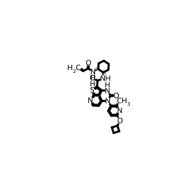 C=CC(=O)N[C@H]1CCCC[C@H]1NC(O)c1sc2nccc3c2c1NC(=O)N3c1ccc(OC2CCC2)nc1C